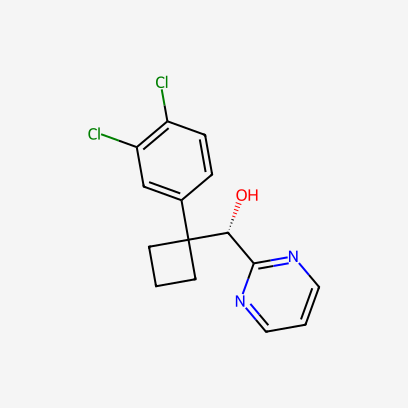 O[C@H](c1ncccn1)C1(c2ccc(Cl)c(Cl)c2)CCC1